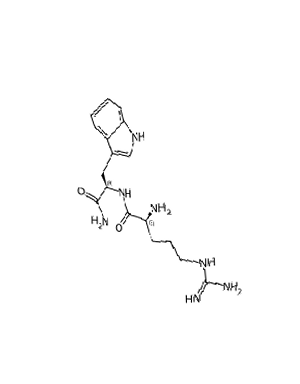 N=C(N)NCCC[C@H](N)C(=O)N[C@H](Cc1c[nH]c2ccccc12)C(N)=O